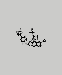 Cc1nnc(-c2ccc(N[C@@H]3Cc4cc5cnc(C6CC6)cc5c(S(=O)(=O)NCC(C)(C)F)c4C3)nn2)o1